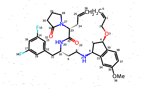 C=CCO[C@@H]1C[C@H](NCC[C@H](Cc2cc(F)cc(F)c2)NC(=O)[C@@H](CC=C)N2CCCC2=O)c2cc(OC)ccc21